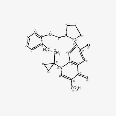 Cc1cccnc1OC[C@H]1CCCN1c1cc2c(cc1Cl)c(=O)c(C(=O)O)cn2C1(C)CC1